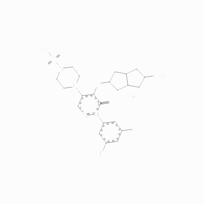 CC(C)S(=O)(=O)N1CCN(c2cnn(-c3cc(F)cc(F)c3)c(=O)c2OC2C[C@]3(C)CC(O)C[C@]3(C)C2)CC1